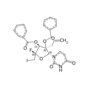 C=CC[C@]1(OC(=O)c2ccccc2)[C@H](n2ccc(=O)[nH]c2=O)O[C@](F)(CI)[C@H]1OC(=O)c1ccccc1